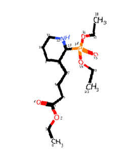 CCOC(=O)CCCC1CCCNC1P(=O)(OCC)OCC